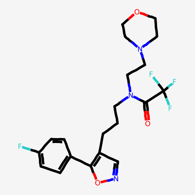 O=C(N(CCCc1cnoc1-c1ccc(F)cc1)CCN1CCOCC1)C(F)(F)F